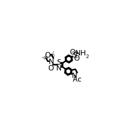 CC(=O)N1CCc2cc(-c3nc(C(=O)N4C[C@@H](C)O[C@@H](C)C4)sc3-c3ccc(S(N)(=O)=O)cc3)ccc21